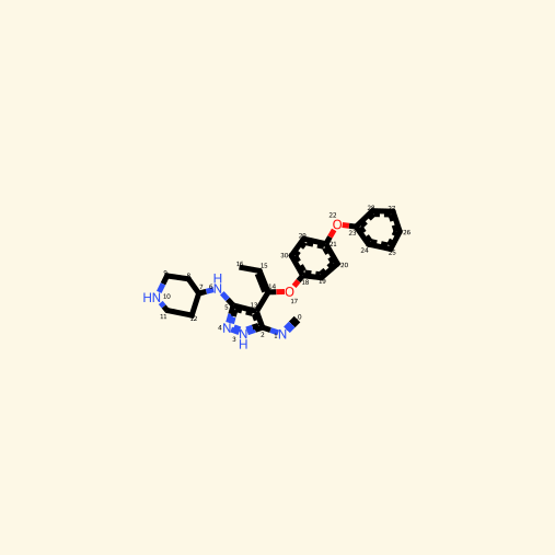 C=Nc1[nH]nc(NC2CCNCC2)c1/C(=C\C)Oc1ccc(Oc2ccccc2)cc1